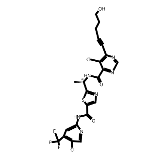 C[C@@H](NC(=O)c1ncnc(C#CCCCO)c1Cl)c1ncc(C(=O)Nc2cc(C(F)(F)F)c(Cl)cn2)s1